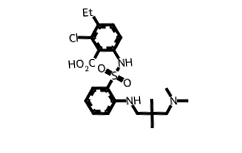 CCc1ccc(NS(=O)(=O)c2ccccc2NCC(C)(C)CN(C)C)c(C(=O)O)c1Cl